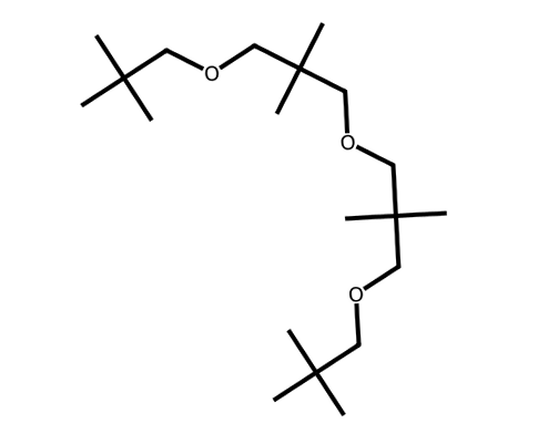 CC(C)(C)COCC(C)(C)COCC(C)(C)COCC(C)(C)C